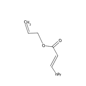 C=CCOC(=O)C=CCCC